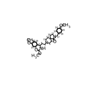 COC(=O)NC(CCN1CCC2(CC1)CCN(Cc1ccc(OC)cc1)C2=O)c1ccc(OC)cc1